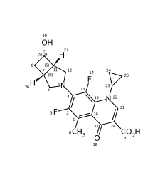 Cc1c(F)c(N2C[C@@H]3C[C@H](O)[C@@H]3C2)c(F)c2c1c(=O)c(C(=O)O)cn2C1CC1